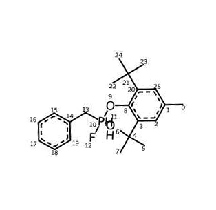 Cc1cc(C(C)(C)C)c(O[PH](O)(F)Cc2ccccc2)c(C(C)(C)C)c1